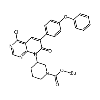 CC(C)(C)OC(=O)N1CCCC(n2c(=O)c(-c3ccc(Oc4ccccc4)cc3)cc3c(Cl)ncnc32)C1